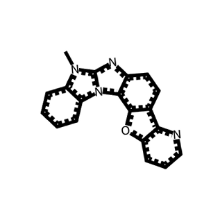 Cn1c2ccccc2n2c3c(ccc4c5ncccc5oc43)nc12